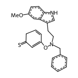 COc1ccc2[nH]cc(CCN(Cc3ccccc3)OC3=CC(=S)CC=C3)c2c1